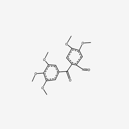 COc1cc(N=O)c(C(=O)c2cc(OC)c(OC)c(OC)c2)cc1OC